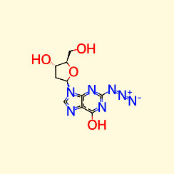 [N-]=[N+]=Nc1nc(O)c2ncn([C@H]3C[C@H](O)[C@@H](CO)O3)c2n1